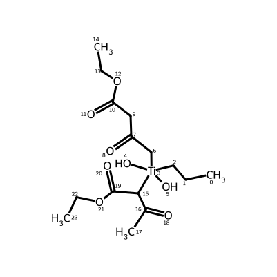 CC[CH2][Ti]([OH])([OH])([CH2]C(=O)CC(=O)OCC)[CH](C(C)=O)C(=O)OCC